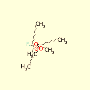 CCCCCCCCC(CF)(CCCCCCCC)O[Si](CCCCCCCC)(OCC)OCC